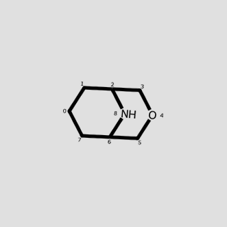 C1C[C]2COCC(C1)N2